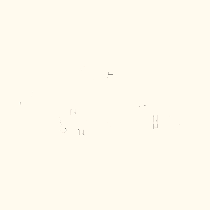 CCc1ccccc1-c1nc(-c2ccc(CNC3CCC3)cc2)no1.O=CO